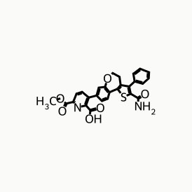 COC(=O)c1ccc(-c2ccc3c(c2)OCCc2c-3sc(C(N)=O)c2-c2ccccc2)c(C(=O)O)n1